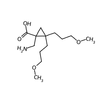 COCCCC1(CCCOC)CC1(CN)C(=O)O